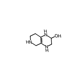 OC1CNC2=C(CCNC2)N1